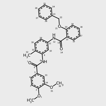 COc1ccc(C(=O)Nc2cc(NC(=O)c3ccccc3OCc3ccccc3)ccc2C)cc1OC